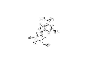 C#C[C@@]1(F)[C@H](O)C(CO)O[C@H]1n1cnc2c(N(C)C)nc(N)nc21